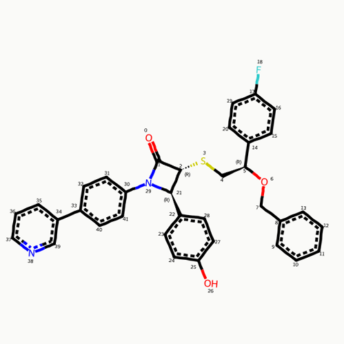 O=C1[C@H](SC[C@H](OCc2ccccc2)c2ccc(F)cc2)[C@@H](c2ccc(O)cc2)N1c1ccc(-c2cccnc2)cc1